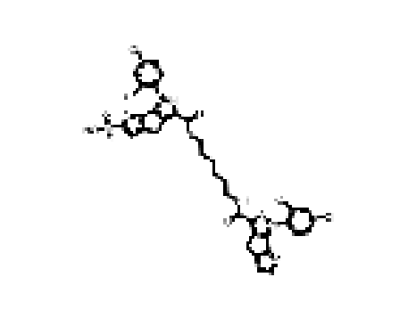 O=C(NCCCCCCNC(=O)c1nn(-c2ccc(Cl)cc2Cl)c2c1Cc1cc(S(=O)(=O)O)sc1-2)c1nn(-c2ccc(Cl)cc2Cl)c2c1Cc1ccsc1-2